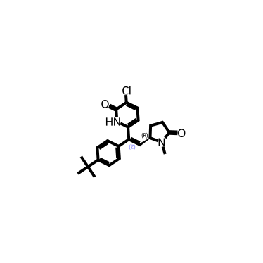 CN1C(=O)CC[C@@H]1/C=C(/c1ccc(C(C)(C)C)cc1)c1ccc(Cl)c(=O)[nH]1